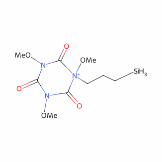 CON1C(=O)N(OC)C(=O)[N+](CCC[SiH3])(OC)C1=O